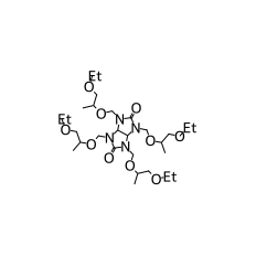 CCOCC(C)OCN1C(=O)N(COC(C)COCC)C2C1N(COC(C)COCC)C(=O)N2COC(C)COCC